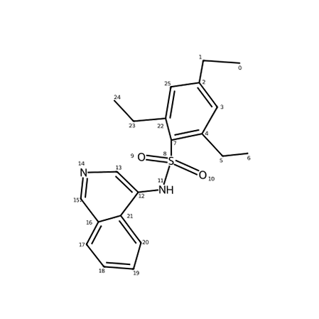 CCc1cc(CC)c(S(=O)(=O)Nc2cn[c]c3ccccc23)c(CC)c1